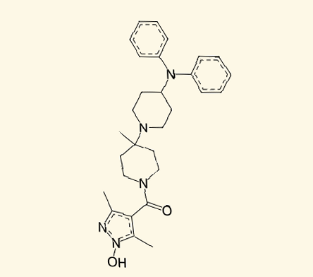 Cc1nn(O)c(C)c1C(=O)N1CCC(C)(N2CCC(N(c3ccccc3)c3ccccc3)CC2)CC1